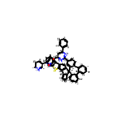 c1ccc(-c2cc(-c3ccc(-c4cccnc4)nc3)nc(-c3ccc4c(c3)C3(c5ccccc5-c5ccccc5-4)c4ccccc4-c4c3ccc3c4sc4ccccc43)n2)cc1